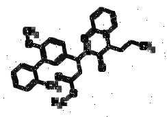 CCCC(C(=O)NC(CC(=O)OC)c1ccc(OC)c(-c2ccccc2C)c1)n1ccccc1=O